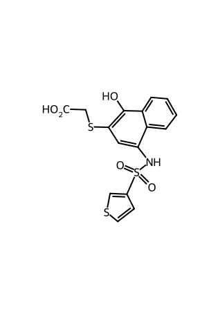 O=C(O)CSc1cc(NS(=O)(=O)c2ccsc2)c2ccccc2c1O